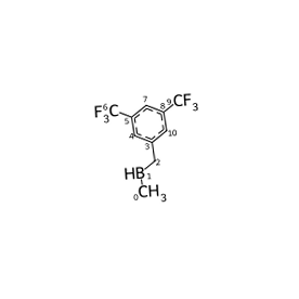 CBCc1cc(C(F)(F)F)cc(C(F)(F)F)c1